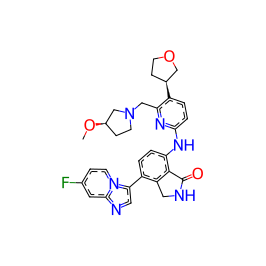 CO[C@@H]1CCN(Cc2nc(Nc3ccc(-c4cnc5cc(F)ccn45)c4c3C(=O)NC4)ccc2[C@H]2CCOC2)C1